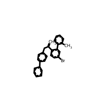 C=C(Cc1ccc(-c2ccccc2)cc1)c1ccc(Br)cc1-c1ccccc1C